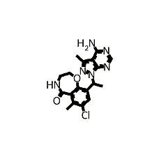 Cc1c(Cl)cc(C(C)n2nc(C)c3c(N)ncnc32)c2c1C(=O)NCCO2